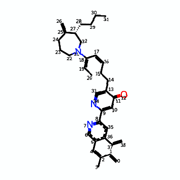 C=C/C(C)=C\c1cnc(C2=CC(=O)C(CC/C=C\C(=C/C)N3CCCC(=C)[C@H](CCCC)C3)=C=N2)cc1C=C